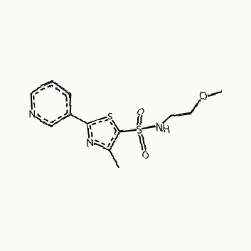 COCCNS(=O)(=O)c1sc(-c2cccnc2)nc1C